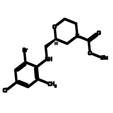 Cc1cc(Cl)cc(Br)c1NC[C@@H]1CN(C(=O)OC(C)(C)C)CCO1